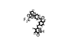 Cc1c(Cc2ccc(F)c(C(=O)N3CCC([N+]4(OC(=O)C(F)(F)F)CCCC4)CC3)c2)n[nH]c(=O)c1C